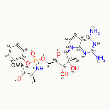 COC(=O)[C@H](C)NP(=O)(OC[C@H]1O[C@@H](n2ccc3c(N)nc(N)nc32)[C@](C)(O)[C@@H]1O)Oc1ccccc1